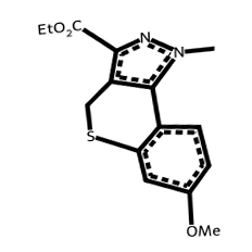 CCOC(=O)c1nn(C)c2c1CSc1cc(OC)ccc1-2